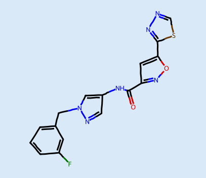 O=C(Nc1cnn(Cc2cccc(F)c2)c1)c1cc(-c2nncs2)on1